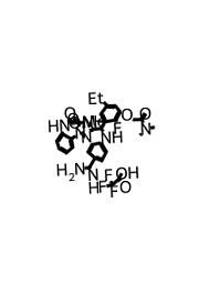 CCc1cc(OCC(=O)N(C)C)c(F)c(C(Nc2ccc(C(=N)N)cc2)c2nn(-c3ccccc3NC(=O)OC)c(=O)[nH]2)c1.O=C(O)C(F)(F)F